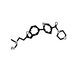 CC(C)CN(C)CCc1cc2cc(-c3ccc(C(=O)N4CCOCC4)cn3)ccc2o1